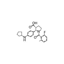 Cc1cccc(F)c1C(=O)N1CCC[C@H](C(=O)O)[C@@H]1c1ccc(NC2CCCC2)cc1